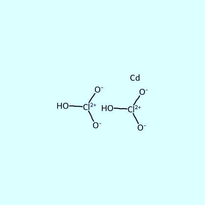 [Cd].[O-][Cl+2]([O-])O.[O-][Cl+2]([O-])O